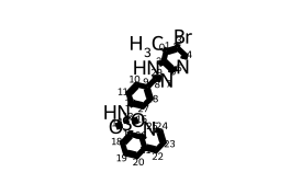 Cc1c(Br)cnc2nc(-c3ccc(NS(=O)(=O)c4cccc5cccnc45)cc3)[nH]c12